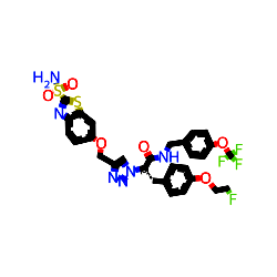 NS(=O)(=O)c1nc2ccc(OCc3cn([C@@H](Cc4ccc(OCCF)cc4)C(=O)NCc4ccc(OC(F)(F)F)cc4)nn3)cc2s1